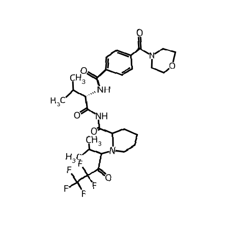 CC(C)C(C(=O)C(F)(F)C(F)(F)F)N1CCCCC1C(=O)NC(=O)[C@@H](NC(=O)c1ccc(C(=O)N2CCOCC2)cc1)C(C)C